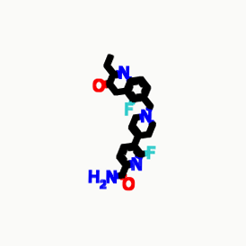 CCC1=Nc2ccc(CN3CC=C(c4ccc(C(N)=O)nc4F)CC3)c(F)c2CC1=O